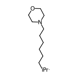 C[C](C)CCCCCCN1CCOCC1